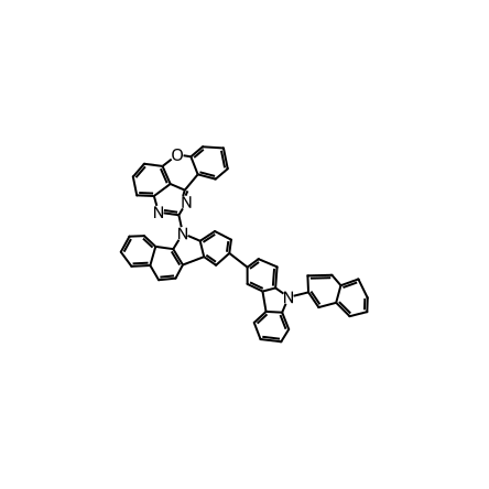 c1ccc2c(c1)Oc1cccc3nc(-n4c5ccc(-c6ccc7c(c6)c6ccccc6n7-c6ccc7ccccc7c6)cc5c5ccc6ccccc6c54)nc-2c13